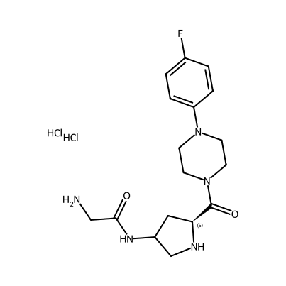 Cl.Cl.NCC(=O)NC1CN[C@H](C(=O)N2CCN(c3ccc(F)cc3)CC2)C1